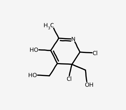 CC1=NC(Cl)C(Cl)(CO)C(CO)=C1O